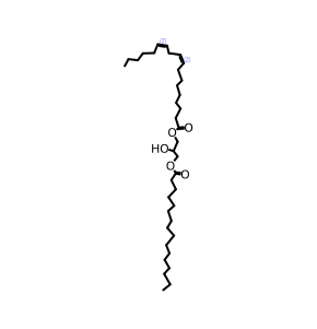 CCCCC/C=C\C/C=C\CCCCCCCC(=O)OCC(O)COC(=O)CCCCCCCCCCCCCCC